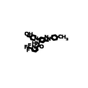 C[C@H]1CC[C@H](n2cc3cc(NC(=O)c4cccc(C(F)(F)F)n4)c(N4CCC(CO)CC4)cc3n2)CC1